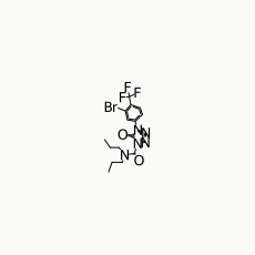 CCCN(CCC)C(=O)n1nnn(-c2ccc(C(F)(F)F)c(Br)c2)c1=O